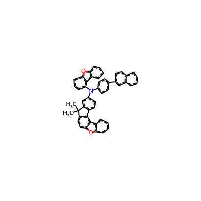 CC1(C)c2cc(N(c3ccc(-c4ccc5ccccc5c4)cc3)c3cccc4oc5ccccc5c34)ccc2-c2c1ccc1oc3ccccc3c21